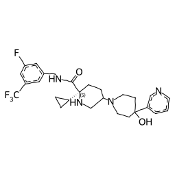 O=C(NCc1cc(F)cc(C(F)(F)F)c1)[C@@]1(C2CC2)CCC(N2CCC(O)(c3cccnc3)CC2)CN1